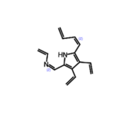 C=C/C=C\c1[nH]c(/C=N\C=C)c(C=C)c1C=C